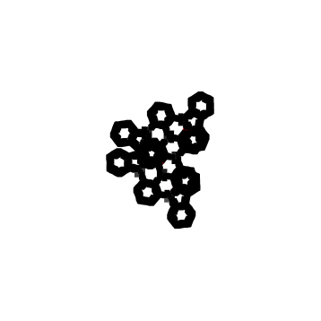 c1ccc2c(c1)B1c3ccccc3N(c3c(-n4c5ccccc5c5ccccc54)cccc3-n3c4ccccc4c4ccccc43)c3cccc(c31)N2c1c(-n2c3ccccc3c3ccccc32)cccc1-n1c2ccccc2c2ccccc21